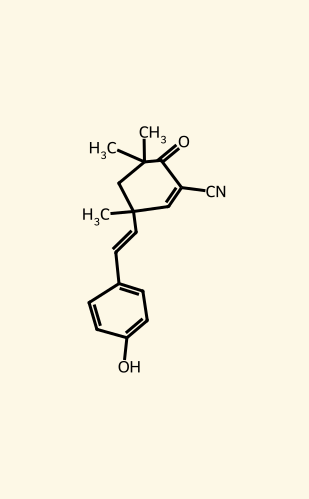 CC1(/C=C/c2ccc(O)cc2)C=C(C#N)C(=O)C(C)(C)C1